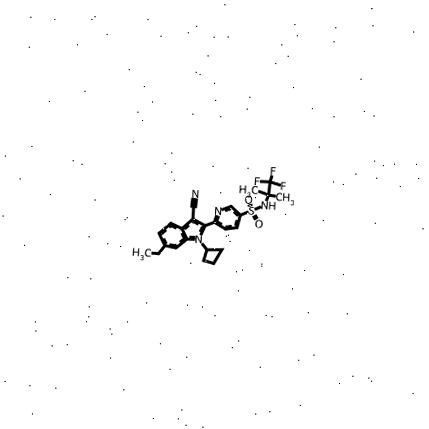 CCc1ccc2c(C#N)c(-c3ccc(S(=O)(=O)NC(C)(C)C(F)(F)F)cn3)n(C3CCC3)c2c1